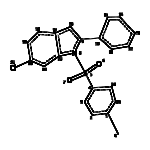 Cc1ccc(S(=O)(=O)n2c(-c3ccccc3)cc3ccc(Cl)cc32)cc1